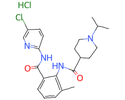 Cc1cccc(C(=O)Nc2ccc(Cl)cn2)c1NC(=O)C1CCN(C(C)C)CC1.Cl